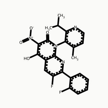 Cc1ccnc(C(C)C)c1-n1c(=O)c([N+](=O)[O-])c(O)c2cc(F)c(-c3ccccc3F)nc21